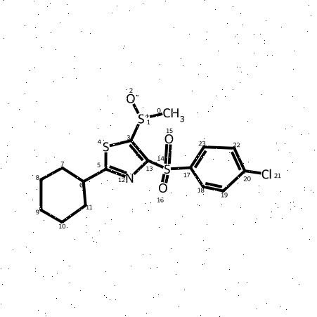 C[S+]([O-])c1sc(C2CCCCC2)nc1S(=O)(=O)c1ccc(Cl)cc1